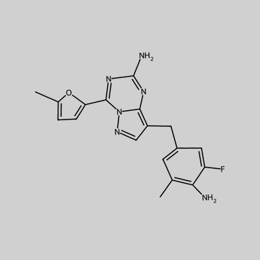 Cc1ccc(-c2nc(N)nc3c(Cc4cc(C)c(N)c(F)c4)cnn23)o1